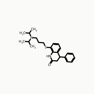 CC(C)N(CCCSc1cccc2c1NC(=O)CC2c1ccccc1)C(C)C